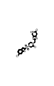 O=C1Cc2nc(CN3CCN(S(=O)(=O)c4cc5ccc(Cl)cc5s4)CC3=O)sc2CN1